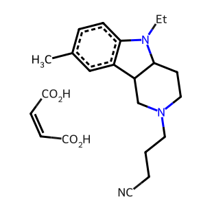 CCN1c2ccc(C)cc2C2CN(CCCC#N)CCC21.O=C(O)/C=C\C(=O)O